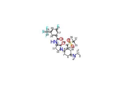 CC(C)N(C)[C@@H]1CC[C@H](N2CC[C@H](NC(=O)c3cc(F)cc(C(F)(F)F)c3)C2=O)[C@@H](CS(=O)(=O)C(C)(C)C)C1